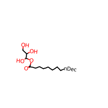 CCCCCCCCCCCCCCCCCC(=O)OC(O)C(O)CO